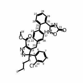 CCCCC1(c2ccccc2Cl)N=NC(C(=O)OC)=C1Cc1ccc(-c2ccccc2-c2nc(=O)o[nH]2)cc1